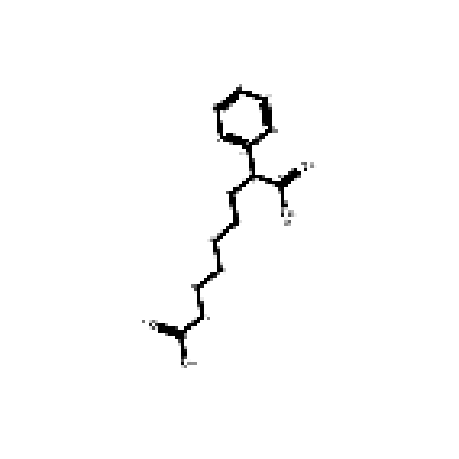 O=C(O)CCCCCCC(C(=O)O)c1ccccc1